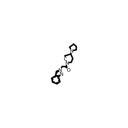 O=C(Cn1cc2ccccc2n1)N1CCC(N2CCCC2)CC1